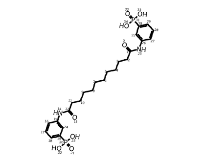 O=C(CCCCCCCCCCC(=O)Nc1cccc(P(=O)(O)O)c1)Nc1cccc(P(=O)(O)O)c1